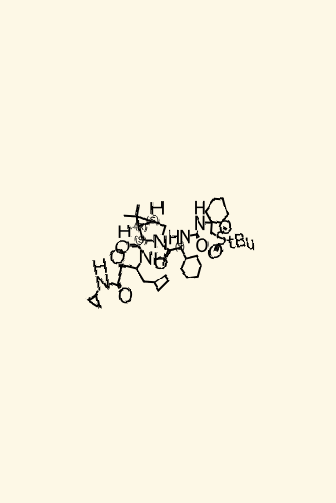 CC1(C)[C@@H]2[C@@H](C(=O)NC(CC3CCC3)C(=O)C(=O)NC3CC3)N(C(=O)[C@@H](NC(=O)NC3(CS(=O)(=O)C(C)(C)C)CCCCC3)C3CCCCC3)C[C@@H]21